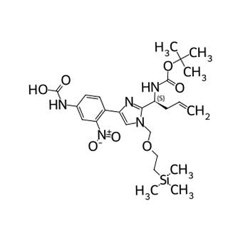 C=CC[C@H](NC(=O)OC(C)(C)C)c1nc(-c2ccc(NC(=O)O)cc2[N+](=O)[O-])cn1COCC[Si](C)(C)C